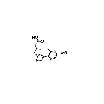 Cc1cc(C#N)ccc1-c1cnn2c1CC(CC(=O)O)C2